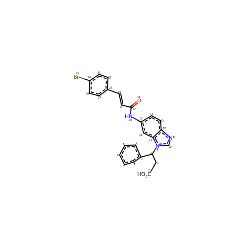 O=C(O)CC(c1ccccc1)n1cnc2ccc(NC(=O)C=Cc3ccc(Br)cc3)cc21